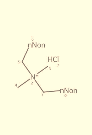 CCCCCCCCCC[N+](C)(C)CCCCCCCCCC.Cl